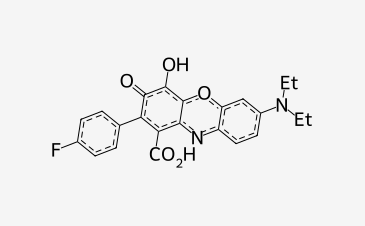 CCN(CC)c1ccc2nc3c(C(=O)O)c(-c4ccc(F)cc4)c(=O)c(O)c-3oc2c1